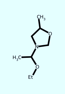 CCOC(C)N1COC(C)C1